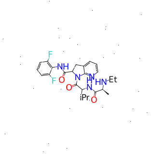 CCN[C@@H](C)C(=O)NC(C(=O)N1c2ncccc2CC1C(=O)Nc1c(F)cccc1F)C(C)C